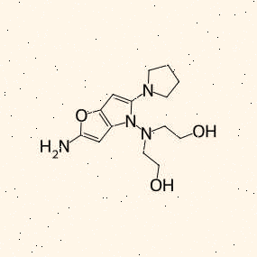 Nc1cc2c(cc(N3CCCC3)n2N(CCO)CCO)o1